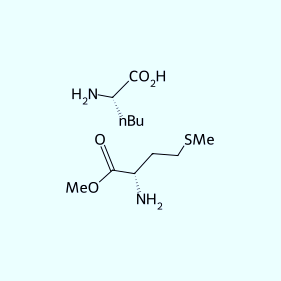 CCCC[C@H](N)C(=O)O.COC(=O)[C@@H](N)CCSC